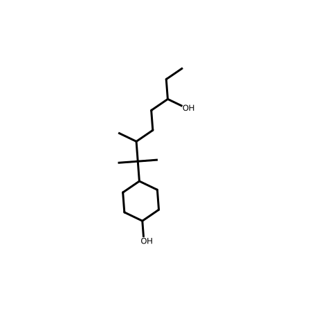 CCC(O)CCC(C)C(C)(C)C1CCC(O)CC1